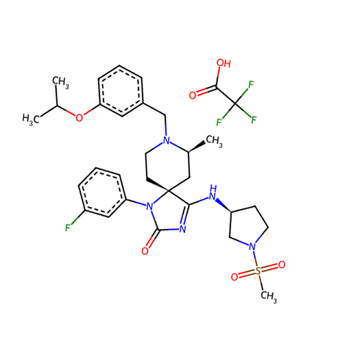 CC(C)Oc1cccc(CN2CC[C@@]3(C[C@@H]2C)C(N[C@H]2CCN(S(C)(=O)=O)C2)=NC(=O)N3c2cccc(F)c2)c1.O=C(O)C(F)(F)F